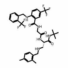 Cc1ccc(CNC[C@H](NC(=O)CNC(=O)c2cc(C(F)(F)F)ccc2NCc2ccccc2C(F)(F)F)C(=O)NC(C)(C)C)c(C)c1